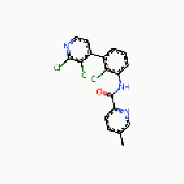 [CH2]c1ccc(C(=O)Nc2cccc(-c3ccnc(Cl)c3Cl)c2Cl)nc1